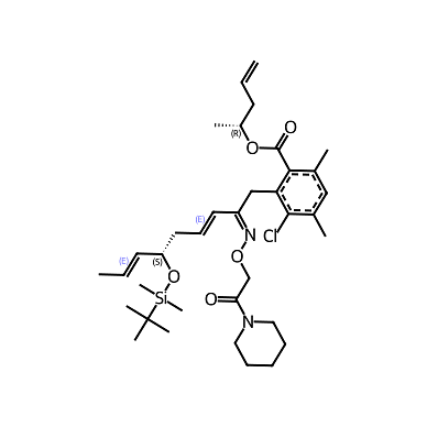 C=CC[C@@H](C)OC(=O)c1c(C)cc(C)c(Cl)c1CC(/C=C/C[C@@H](/C=C/C)O[Si](C)(C)C(C)(C)C)=NOCC(=O)N1CCCCC1